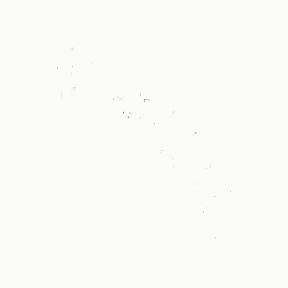 CCOC(=O)COc1ccc(C(CC)(CC)c2nc(CCC(O)C(C)(C)C)co2)cc1C